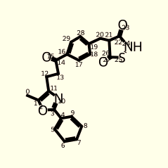 Cc1oc(-c2ccccc2)nc1CCC(=O)c1ccc(CC2C(=O)NSC2=O)cc1